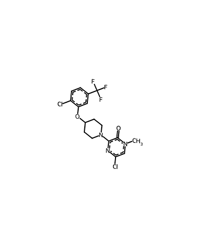 Cn1cc(Cl)nc(N2CCC(Oc3cc(C(F)(F)F)ccc3Cl)CC2)c1=O